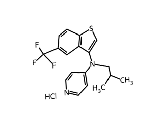 CC(C)CN(c1ccncc1)c1csc2ccc(C(F)(F)F)cc12.Cl